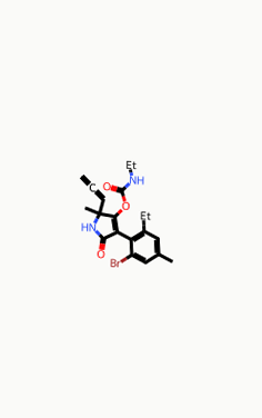 C=C=CC1(C)NC(=O)C(c2c(Br)cc(C)cc2CC)=C1OC(=O)NCC